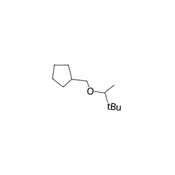 CC(OCC1CCCC1)C(C)(C)C